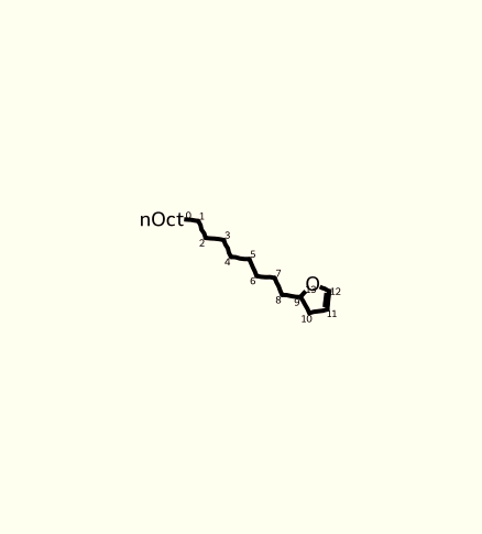 CCCCCCCCCCCCCCCCC1CC=CO1